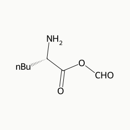 CCCC[C@H](N)C(=O)OC=O